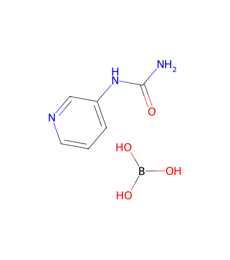 NC(=O)Nc1cccnc1.OB(O)O